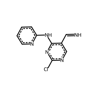 N=Cc1cnc(Cl)nc1Nc1ccccn1